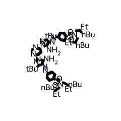 CCCCC(CC)CN(CC(CC)CCCC)S(=O)(=O)c1ccc(/N=N/c2c(C(C)(C)C)nn(-c3cc(-n4nc(C(C)(C)C)c(/N=N/c5ccc(S(=O)(=O)N(CC(CC)CCCC)CC(CC)CCCC)cc5)c4N)ncn3)c2N)cc1